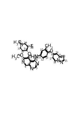 COc1ncc2ncnc(Nc3ccc(Oc4ccn5ncnc5c4)c(C)c3)c2c1O[C@@H]1CCN(C)C[C@@H]1F